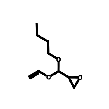 C=COC(OCCCC)C1CO1